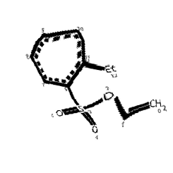 C=COS(=O)(=O)c1ccccc1CC